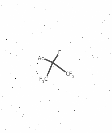 CC(=O)C(F)(C(F)(F)F)C(F)(F)F